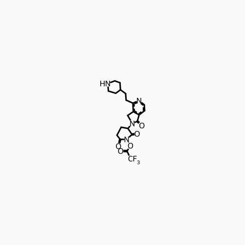 O=C1CCC(N2Cc3c(ccnc3CCC3CCNCC3)C2=O)C(=O)N1OC(=O)C(F)(F)F